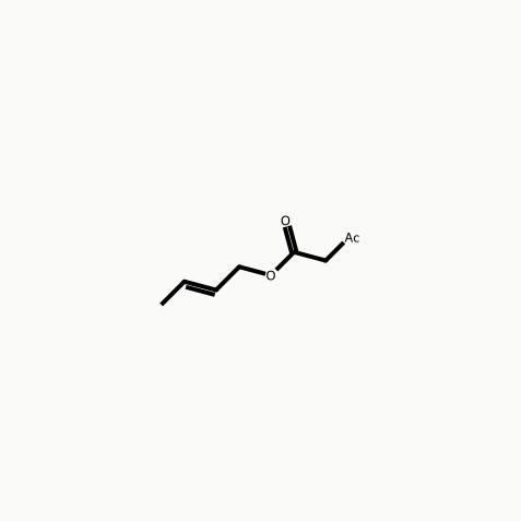 C/C=C/COC(=O)CC(C)=O